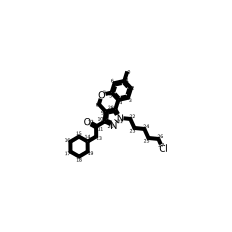 Cc1ccc2c(c1)OCc1c(C(=O)CC3CCCCC3)nn(CCCCCCl)c1-2